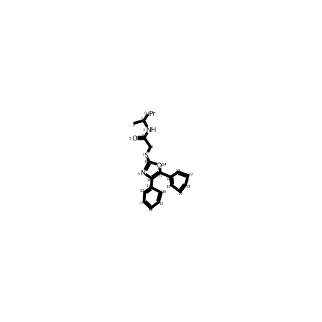 CC(C)C(C)NC(=O)CSc1nc(-c2ccccc2)c(-c2ccccc2)o1